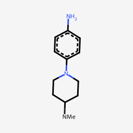 CNC1CCN(c2ccc(N)cc2)CC1